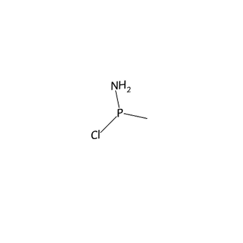 CP(N)Cl